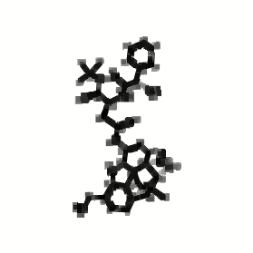 CN1CCC23c4c5ccc(CO)c4OC2C(OC(=O)C[C@H](NC(=O)[C@@H](O)c2ccccc2)C(=O)OC(C)(C)C)=CC[C@@]3(O)[C@H]1C5